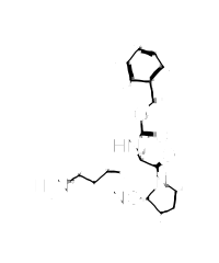 N#C[C@@H]1CCCN1C(=O)[C@H](CCCCN)NC(=O)OCc1ccccc1